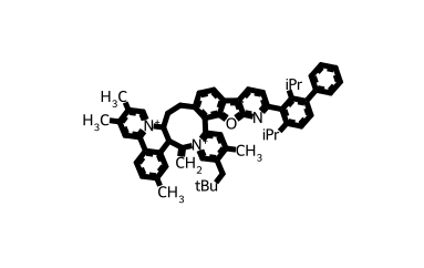 C=C1C2c3cc(C)ccc3-c3cc(C)c(C)c[n+]3C2CCc2ccc3c(oc4nc(-c5c(C(C)C)ccc(-c6ccccc6)c5C(C)C)ccc43)c2-c2cc(C)c(CC(C)(C)C)c[n+]21